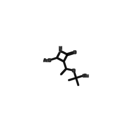 CC(=O)OC1NC(=O)C1C(C)OC(C)(C)C(C)(C)C